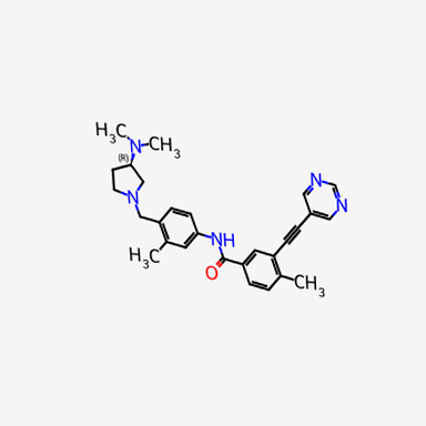 Cc1ccc(C(=O)Nc2ccc(CN3CC[C@@H](N(C)C)C3)c(C)c2)cc1C#Cc1cncnc1